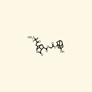 O=C(COC(=O)C1C2CC3C(OC(=O)C31)C2CC(=O)C(F)(F)S(=O)(=O)O)OC12CC3CC(CC(O)(C3)C1)C2